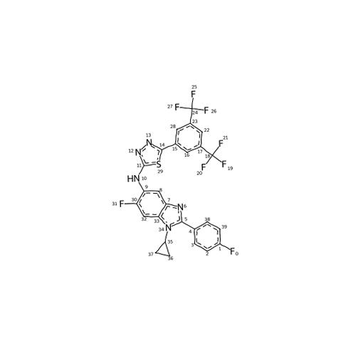 Fc1ccc(-c2nc3cc(Nc4nnc(-c5cc(C(F)(F)F)cc(C(F)(F)F)c5)s4)c(F)cc3n2C2CC2)cc1